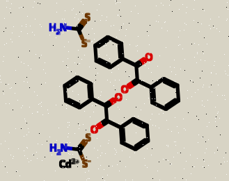 NC(=S)[S-].NC(=S)[S-].O=C(C(=O)c1ccccc1)c1ccccc1.O=C(C(=O)c1ccccc1)c1ccccc1.[Cd+2]